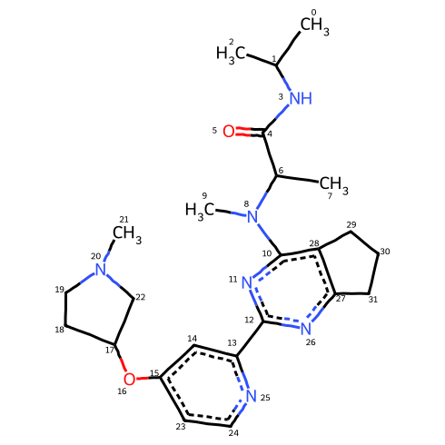 CC(C)NC(=O)C(C)N(C)c1nc(-c2cc(OC3CCN(C)C3)ccn2)nc2c1CCC2